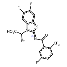 CCC(C(=O)O)n1/c(=N/C(=O)c2cc(F)ccc2C(F)(F)F)sc2cc(F)c(F)cc21